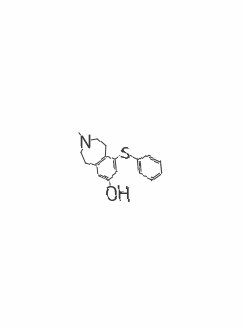 CN1CCc2cc(O)cc(Sc3ccccc3)c2CC1